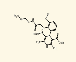 CCOc1cccc(C2C(C(=O)OC)=C(C)NC(C)=C2C(=O)OC)c1OCC(=O)NCCO[N+](=O)[O-]